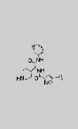 O=C(NC(C(=O)Nc1cccnc1)C1CCNCC1)c1cc(C2CC2)on1